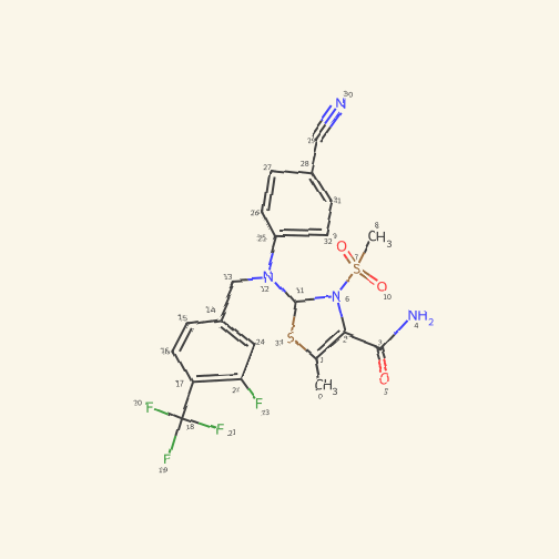 CC1=C(C(N)=O)N(S(C)(=O)=O)C(N(Cc2ccc(C(F)(F)F)c(F)c2)c2ccc(C#N)cc2)S1